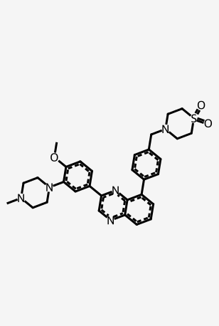 COc1ccc(-c2cnc3cccc(-c4ccc(CN5CCS(=O)(=O)CC5)cc4)c3n2)cc1N1CCN(C)CC1